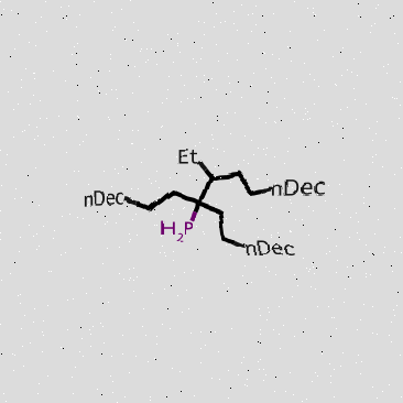 CCCCCCCCCCCCC(CC)C(P)(CCCCCCCCCCCC)CCCCCCCCCCCC